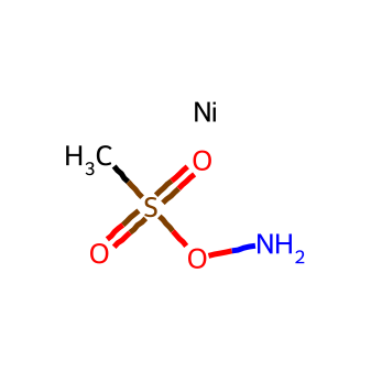 CS(=O)(=O)ON.[Ni]